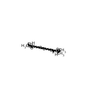 CCC(C)C(=O)NCC(F)COCCCCCOCCOCCCCCNC(=O)COC(C)C